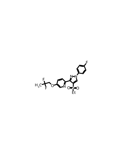 CCS(=O)(=O)c1cn(-c2ccc(F)cc2)nc1-c1ccc(OCC(C)(F)F)cn1